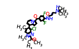 CO[C@H](C)c1nc2c(Cl)c(-c3cccn4c(C(=O)c5cc(F)c(NC(=O)/C=C/CNC(C)(C)C)c(F)c5)ccc34)c(C)cc2n1C